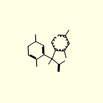 C=C1Nc2cc(C(F)(F)F)ncc2C1(C)C1=CC(C)CC=C1CC